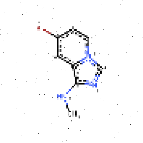 CNc1ncn2ccc(Br)cc12